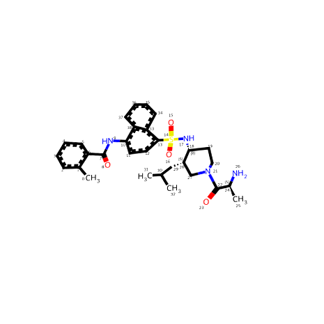 Cc1ccccc1C(=O)Nc1ccc(S(=O)(=O)N[C@@H]2CCN(C(=O)[C@H](C)N)C[C@@H]2CC(C)C)c2ccccc12